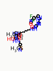 Cc1ncsc1-c1ccc(CNC(=O)[C@@H]2C[C@@H](O)CN2C(=O)C(NC(=O)CCCCCCCCCNC(=O)CN2CCC(n3cc(-c4cnc5cccc(-c6cc(F)c(CN7CCOCC7)c(F)c6)c5n4)cn3)CC2)C(C)(C)C)cc1